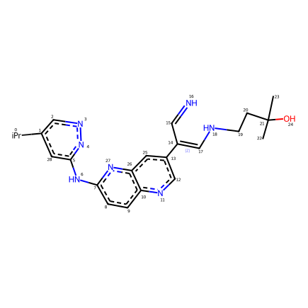 CC(C)c1cnnc(Nc2ccc3ncc(/C(C=N)=C/NCCC(C)(C)O)cc3n2)c1